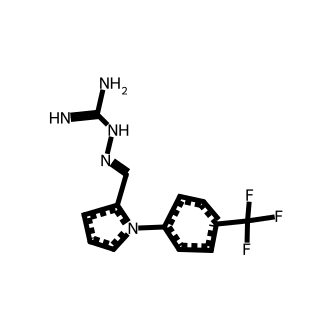 N=C(N)N/N=C/c1cccn1-c1ccc(C(F)(F)F)cc1